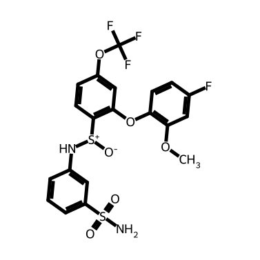 COc1cc(F)ccc1Oc1cc(OC(F)(F)F)ccc1[S+]([O-])Nc1cccc(S(N)(=O)=O)c1